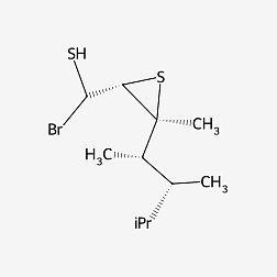 CC(C)[C@@H](C)[C@H](C)[C@]1(C)S[C@H]1C(S)Br